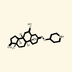 C[C@]12CCC(=NOC3CCNCC3)CC1C(=O)C[C@@H]1[C@@H]2CC[C@]2(C)C(=O)CC[C@@H]12.Cl